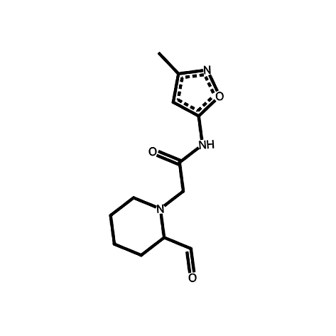 Cc1cc(NC(=O)CN2CCCCC2C=O)on1